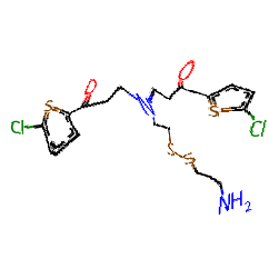 NCCSSCCN(CCC(=O)c1ccc(Cl)s1)CCC(=O)c1ccc(Cl)s1